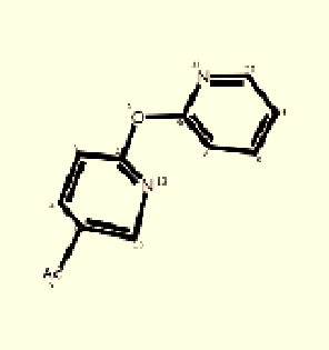 CC(=O)c1ccc(Oc2ccccn2)nc1